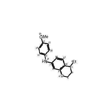 CCC1CCOc2cc(Nc3ccc(OC)cc3)ccc21